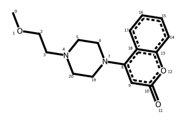 COCCN1CCN(c2cc(=O)oc3ccccc23)CC1